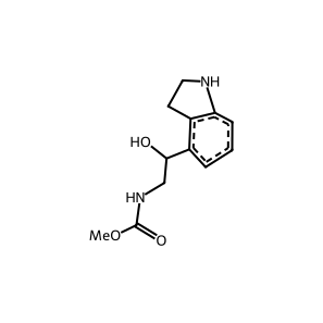 COC(=O)NCC(O)c1cccc2c1CCN2